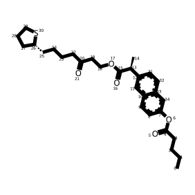 CCCCC(=O)Oc1ccc2cc([C@H](C)C(=O)OCCC(=O)CCCC[C@@H]3CCCS3)ccc2c1